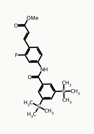 COC(=O)C=Cc1ccc(NC(=O)c2cc([Si](C)(C)C)cc([Si](C)(C)C)c2)cc1F